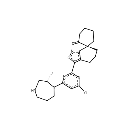 C[C@H]1CNCCCN1c1cc(Cl)nc(-c2onc3c2CCC[C@@]32CCCCC2=O)n1